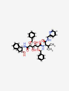 CC(C)[C@H](NC(=O)[C@H](OCc1ccccc1)[C@H](O)[C@@H](O)[C@@H](OCc1ccccc1)C(=O)N[C@H]1c2ccccc2C[C@H]1O)C(=O)NCc1ccccn1